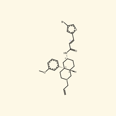 C=CCN1CC[C@@]2(c3cccc(OC)c3)C[C@H](NC(=O)/C=C/c3cc(Br)cs3)CC[C@@H]2C1